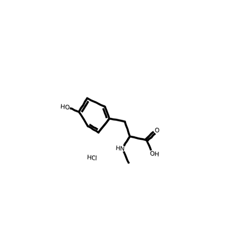 CNC(Cc1ccc(O)cc1)C(=O)O.Cl